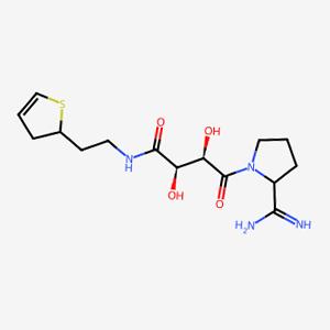 N=C(N)C1CCCN1C(=O)[C@H](O)[C@@H](O)C(=O)NCCC1CC=CS1